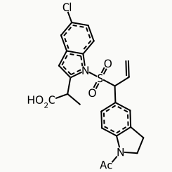 C=CC(c1ccc2c(c1)CCN2C(C)=O)S(=O)(=O)n1c(C(C)C(=O)O)cc2cc(Cl)ccc21